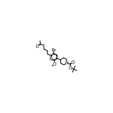 COc1nc(CCCSC(C)=O)c(Br)cc1C1CCN(C(=O)OC(C)(C)C)CC1